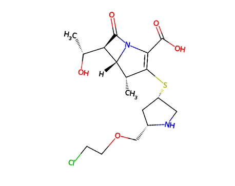 C[C@@H](O)[C@H]1C(=O)N2C(C(=O)O)=C(S[C@@H]3CN[C@H](COCCCl)C3)[C@H](C)[C@H]12